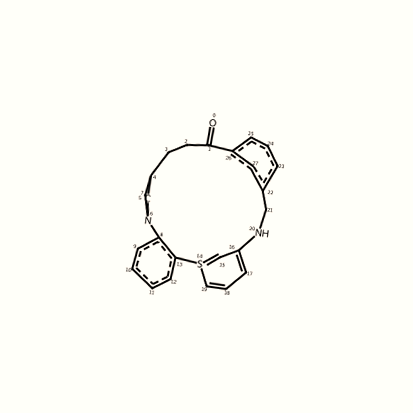 O=C1CCC2CN(C2)c2ccccc2S2=CC(=CC=C2)NCc2cccc1c2